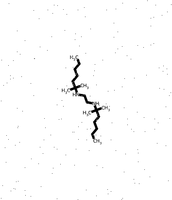 CCCCCC(C)(C)NCCNC(C)(C)CCCCC